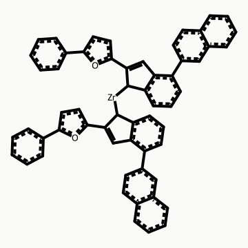 C1=C(c2ccc(-c3ccccc3)o2)[CH]([Zr][CH]2C(c3ccc(-c4ccccc4)o3)=Cc3c(-c4ccc5ccccc5c4)cccc32)c2cccc(-c3ccc4ccccc4c3)c21